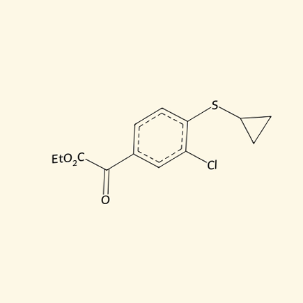 CCOC(=O)C(=O)c1ccc(SC2CC2)c(Cl)c1